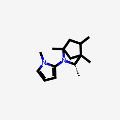 CC1CC2(C)CC1(C)[C@H](C)N2c1cccn1C